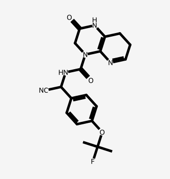 CC(C)(F)Oc1ccc(C(C#N)NC(=O)N2CC(=O)NC3=C2N=CCC3)cc1